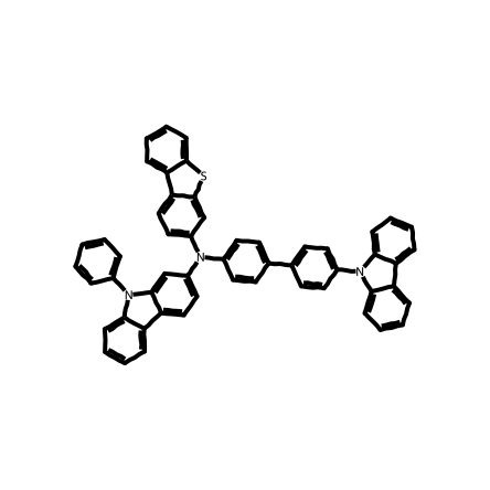 c1ccc(-n2c3ccccc3c3ccc(N(c4ccc(-c5ccc(-n6c7ccccc7c7ccccc76)cc5)cc4)c4ccc5c(c4)sc4ccccc45)cc32)cc1